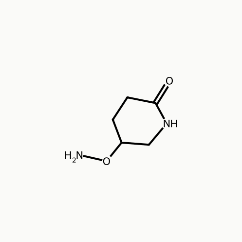 NOC1CCC(=O)NC1